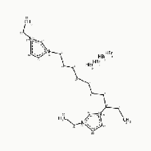 Br.Br.Br.Br.CCC(CCCCCCCn1cc[n+](CC)c1)n1cc[n+](CC)c1